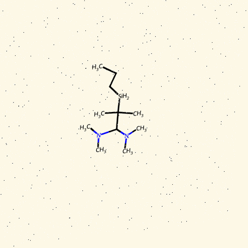 CCC[SiH2]C(C)(C)C(N(C)C)N(C)C